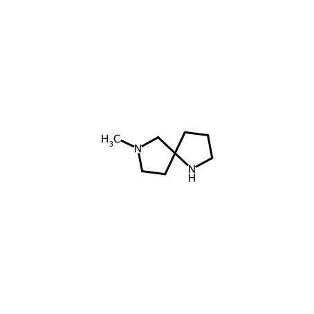 CN1CCC2(CCCN2)C1